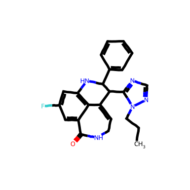 CCCn1ncnc1C1C2=CCNC(=O)c3cc(F)cc(c32)NC1c1ccccc1